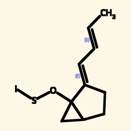 C/C=C/C=C1\CCC2CC12OSI